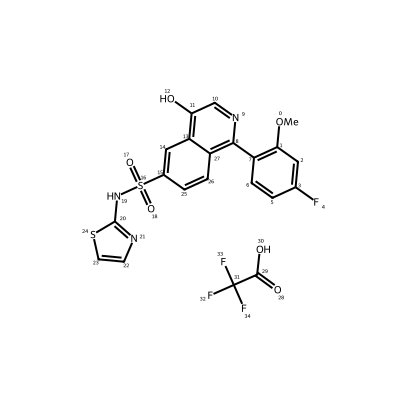 COc1cc(F)ccc1-c1ncc(O)c2cc(S(=O)(=O)Nc3nccs3)ccc12.O=C(O)C(F)(F)F